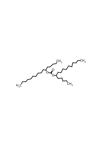 CCCCCCCCCCC(CCCCC)OC(=O)OC(CCCCC)CCCCCCCCCC